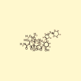 CN(C)[C@@H]1C(O)=C(C(N)=O)C(=O)[C@@]2(O)C(O)=C3C(=O)c4c(O)ccc(C5=CC=C(CN6CCCCC6)C5)c4C[C@H]3C[C@@H]12